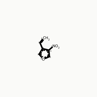 C=Cc1[c]occ1[N+](=O)[O-]